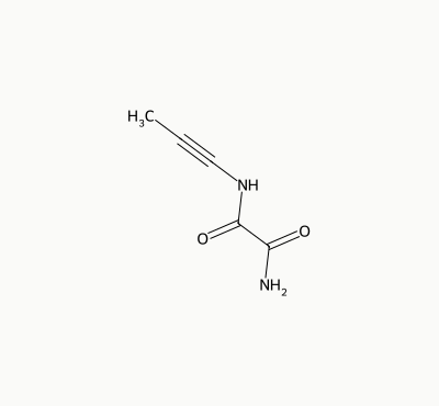 CC#CNC(=O)C(N)=O